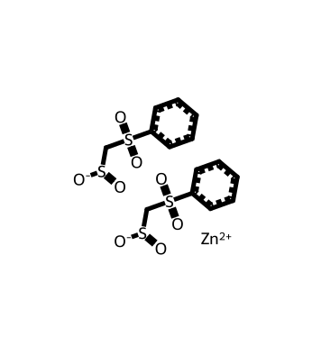 O=S([O-])CS(=O)(=O)c1ccccc1.O=S([O-])CS(=O)(=O)c1ccccc1.[Zn+2]